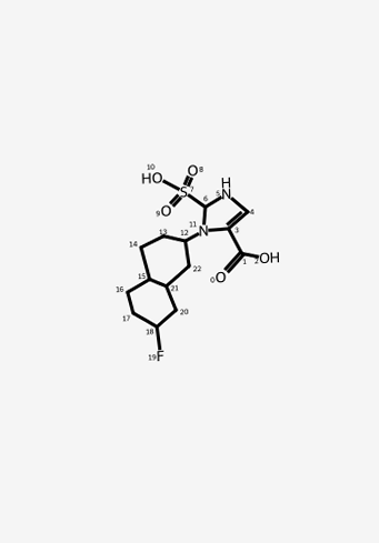 O=C(O)C1=CNC(S(=O)(=O)O)N1C1CCC2CCC(F)CC2C1